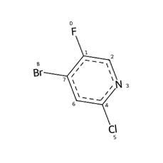 Fc1cnc(Cl)cc1Br